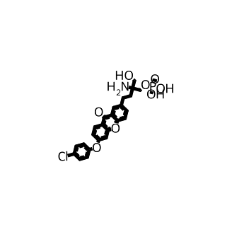 NC(CO)(CCc1ccc2oc3cc(Oc4ccc(Cl)cc4)ccc3c(=O)c2c1)COP(=O)(O)O